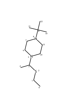 CCSC(C)N1CCN(C(C)(C)C)CC1